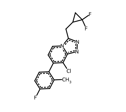 Cc1cc(F)ccc1-c1ccn2c(CC3CC3(F)F)nnc2c1Cl